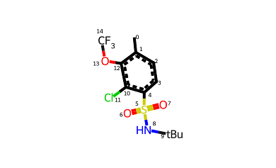 Cc1ccc(S(=O)(=O)NC(C)(C)C)c(Cl)c1OC(F)(F)F